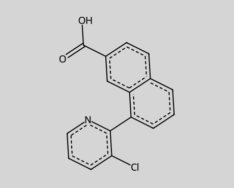 O=C(O)c1ccc2cccc(-c3ncccc3Cl)c2c1